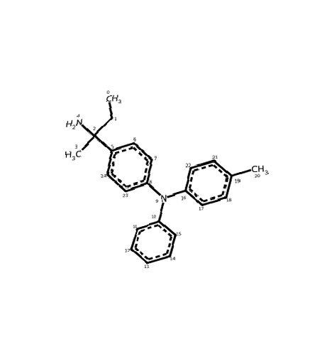 CCC(C)(N)c1ccc(N(c2ccccc2)c2ccc(C)cc2)cc1